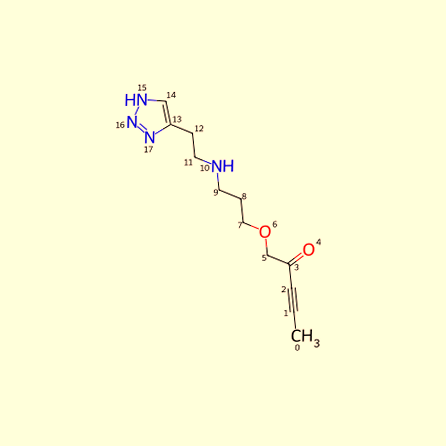 CC#CC(=O)COCCCNCCc1c[nH]nn1